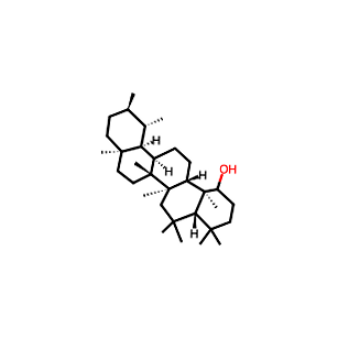 C[C@@H]1[C@H]2[C@H]3CC[C@@H]4[C@@]5(C)C(O)CCC(C)(C)[C@@H]5C(C)(C)C[C@@]4(C)[C@]3(C)CC[C@@]2(C)CC[C@H]1C